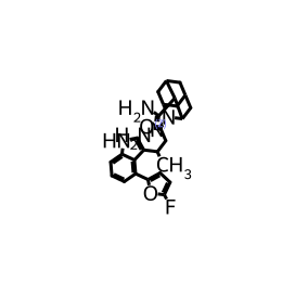 CC(CC(=O)N1C2CC3CC(C2)C(/C(N)=N/N)C1C3)c1c[nH]c2cccc(-c3ccc(F)o3)c12